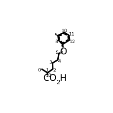 CC(CCCCOc1ccccc1)C(=O)O